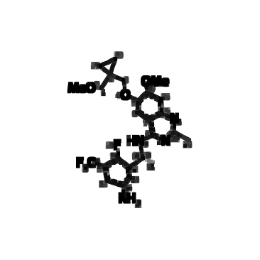 COCC1(COc2cc3c(N[C@H](C)c4cc(N)cc(C(F)(F)F)c4F)nc(C)nc3cc2OC)CC1